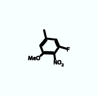 COc1cc(C)cc(F)c1[N+](=O)[O-]